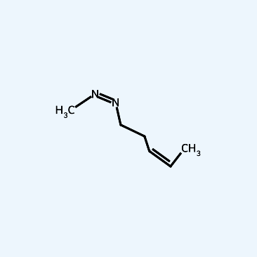 C/C=C\CC/N=N\C